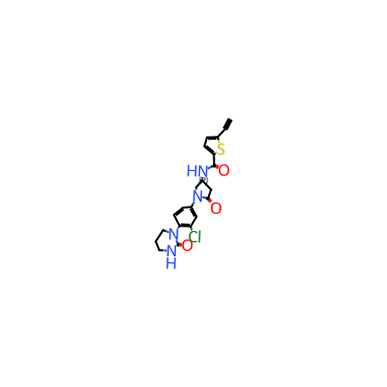 C#Cc1ccc(C(=O)N[C@@H]2CC(=O)N(c3ccc(N4CCCNC4=O)c(Cl)c3)C2)s1